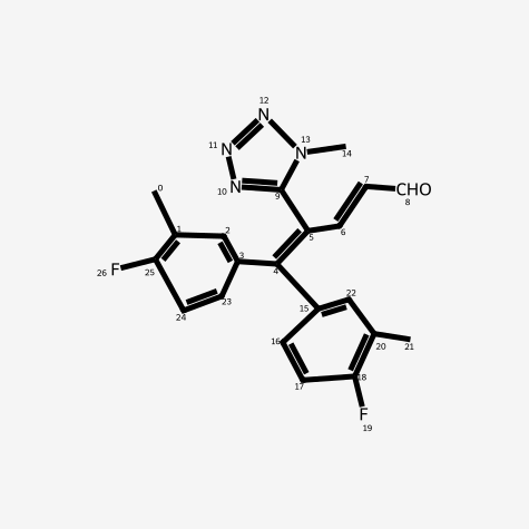 Cc1cc(C(=C(/C=C/C=O)c2nnnn2C)c2ccc(F)c(C)c2)ccc1F